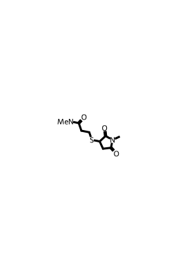 CNC(=O)CCSC1CC(=O)N(C)C1=O